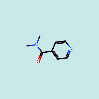 CN(C)C(=O)c1c[c]ncc1